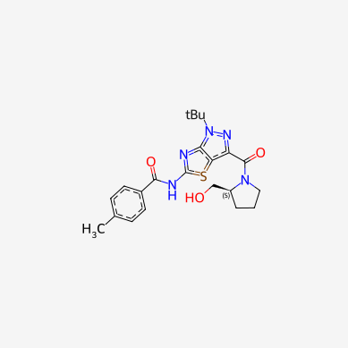 Cc1ccc(C(=O)Nc2nc3c(s2)c(C(=O)N2CCC[C@H]2CO)nn3C(C)(C)C)cc1